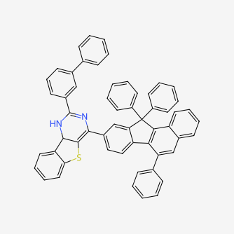 c1ccc(-c2cccc(C3=NC(c4ccc5c(c4)C(c4ccccc4)(c4ccccc4)c4c-5c(-c5ccccc5)cc5ccccc45)=C4Sc5ccccc5C4N3)c2)cc1